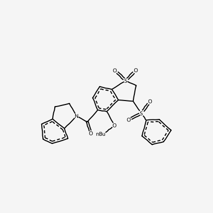 CCCCOc1c(C(=O)N2CCc3ccccc32)ccc2c1C(S(=O)(=O)c1ccccc1)CS2(=O)=O